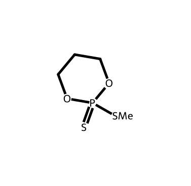 CSP1(=S)OCCCO1